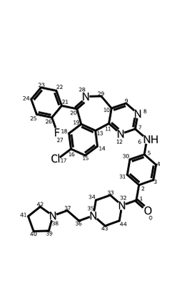 O=C(c1ccc(Nc2ncc3c(n2)-c2ccc(Cl)cc2C(c2ccccc2F)=NC3)cc1)N1CCN(CCN2CCCC2)CC1